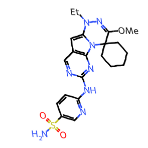 CCN1N=C(OC)C2(CCCCC2)n2c1cc1cnc(Nc3ccc(S(N)(=O)=O)cn3)nc12